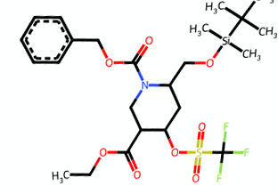 CCOC(=O)C1CN(C(=O)OCc2ccccc2)C(CO[Si](C)(C)C(C)(C)C)CC1OS(=O)(=O)C(F)(F)F